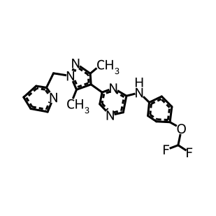 Cc1nn(Cc2ccccn2)c(C)c1-c1cncc(Nc2ccc(OC(F)F)cc2)n1